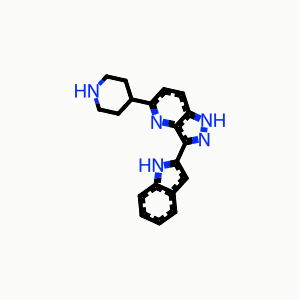 c1ccc2[nH]c(-c3n[nH]c4ccc(C5CCNCC5)nc34)cc2c1